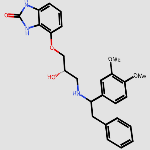 COc1ccc(C(Cc2ccccc2)NC[C@H](O)COc2cccc3[nH]c(=O)[nH]c23)cc1OC